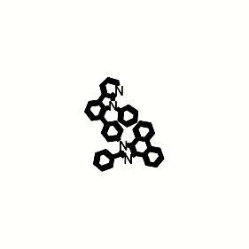 c1ccc(-c2nc3c4ccccc4c4ccccc4c3n2-c2ccc(-c3cccc4c5cccnc5n(-c5ccccc5)c34)cc2)cc1